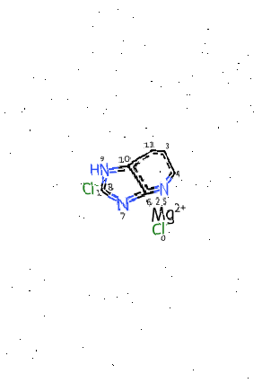 [Cl-].[Cl-].[Mg+2].c1cnc2nc[nH]c2c1